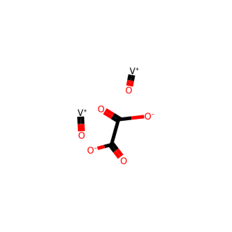 O=C([O-])C(=O)[O-].[O]=[V+].[O]=[V+]